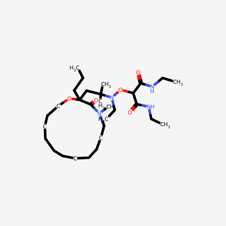 CCCC1(CC(C)(C)N(CC)OC(C(=O)NCC)C(=O)NCC)OCCCCCCCCCCCN(C)C1=O